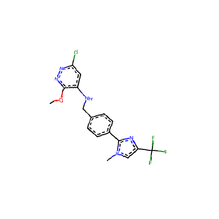 COc1nnc(Cl)cc1NCc1ccc(-c2nc(C(F)(F)F)cn2C)cc1